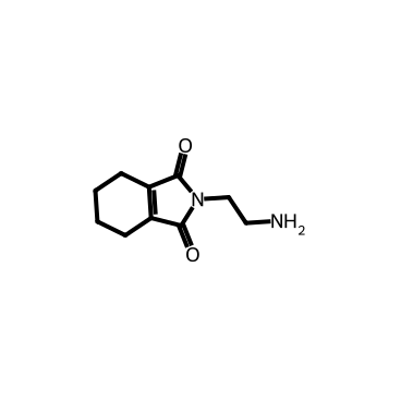 NCCN1C(=O)C2=C(CCCC2)C1=O